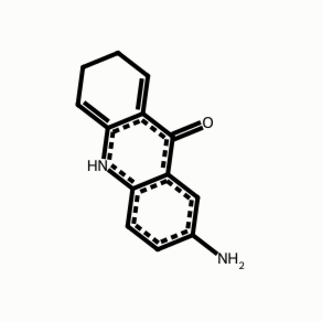 Nc1ccc2[nH]c3c(c(=O)c2c1)=CCCC=3